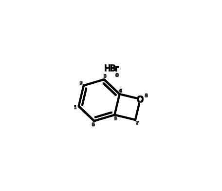 Br.c1ccc2c(c1)CO2